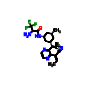 C=C(c1nccnc1/C(C#N)=C\C)[C@H]1C[C@@H](C)C[C@@H](NC(=O)[C@@H](N)C(F)(F)F)C1